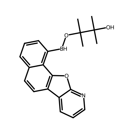 CC(C)(O)C(C)(C)OBc1cccc2ccc3c4cccnc4oc3c12